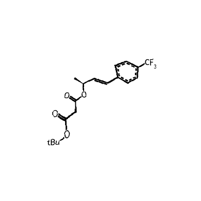 C[C@@H](C=Cc1ccc(C(F)(F)F)cc1)OC(=O)CC(=O)OC(C)(C)C